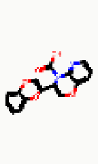 O=C(O)N1C(C2=COc3ccccc3O2)=COc2cccnc21